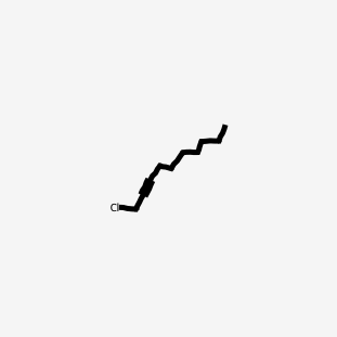 CCCCCCCC#C[CH]Cl